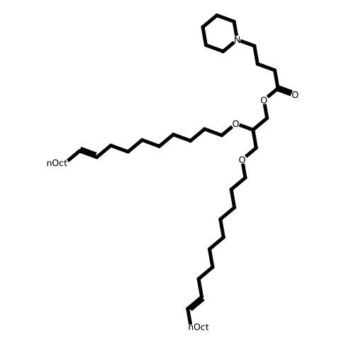 CCCCCCCCC=CCCCCCCCCOCC(COC(=O)CCCN1CCCCC1)OCCCCCCCCC=CCCCCCCCC